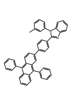 Cc1cccc(-n2c(-c3ccc(-c4ccc5c(-c6ccccc6)c6ccccc6c(-c6ccccc6)c5c4)cc3)nc3ccccc32)c1